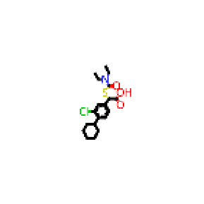 CCN(CC)C(=O)SC(C(=O)O)c1ccc(C2CCCCC2)c(Cl)c1